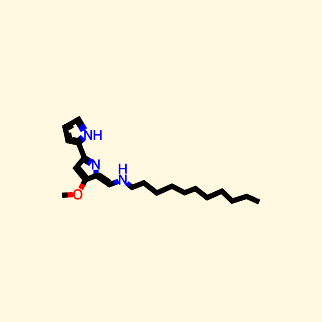 CCCCCCCCCCCN/C=C1\N=C(c2ccc[nH]2)C=C1OC